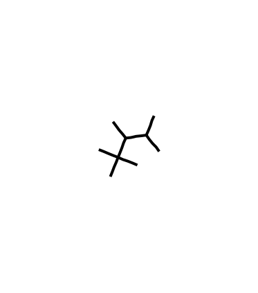 CC(C)C(C)C(C)(C)C